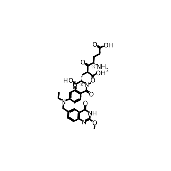 CCN(Cc1ccc2nc(OC)[nH]c(=O)c2c1)c1ccc(C(=O)N(C)[C@@H](CC(C(=O)O)C(=O)[C@@H](N)CCC(=O)O)C(=O)O)c(F)c1